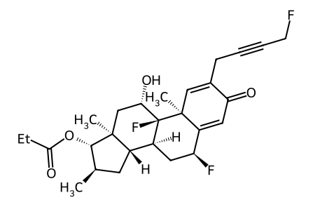 CCC(=O)O[C@H]1[C@H](C)C[C@H]2[C@@H]3C[C@H](F)C4=CC(=O)C(CC#CCF)=C[C@]4(C)[C@@]3(F)[C@@H](O)C[C@@]21C